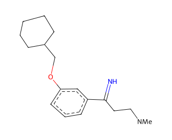 CNCCC(=N)c1cccc(OCC2CCCCC2)c1